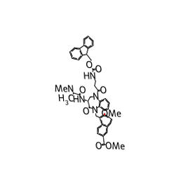 CN[C@@H](C)C(=O)N[C@H]1CN(C(=O)CCNC(=O)OCC2c3ccccc3-c3ccccc32)c2ccccc2N(Cc2c(OC)ccc3cc(C(=O)OC)ccc23)C1=O